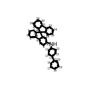 C1=CCC2C(=C1)c1ccc(Nc3ccc(-c4ccccc4)cc3)cc1C21c2ccccc2-c2ccccc21